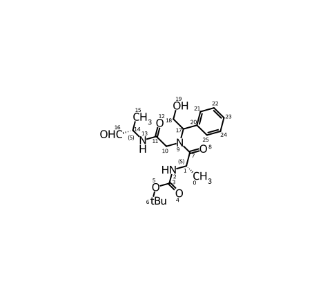 C[C@H](NC(=O)OC(C)(C)C)C(=O)N(CC(=O)N[C@@H](C)C=O)C(CO)c1ccccc1